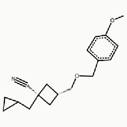 COc1ccc(COC[C@H]2C[C@](C#N)(CC3CC3)C2)cc1